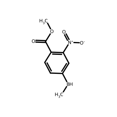 CBc1ccc(C(=O)OC)c([N+](=O)[O-])c1